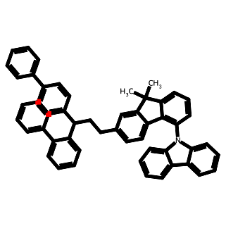 CC1(C)c2cc(CCC(c3ccc(-c4ccccc4)cc3)c3ccccc3-c3ccccc3)ccc2-c2c(-n3c4ccccc4c4ccccc43)cccc21